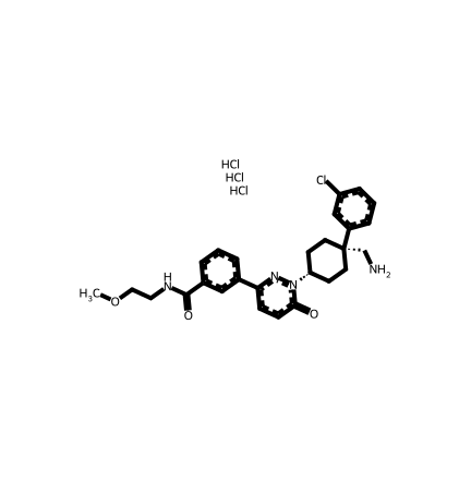 COCCNC(=O)c1cccc(-c2ccc(=O)n([C@H]3CC[C@](CN)(c4cccc(Cl)c4)CC3)n2)c1.Cl.Cl.Cl